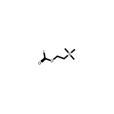 C[Si](C)(C)CCOC(=O)I